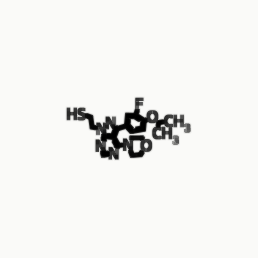 CC(C)Oc1ccc(-c2nn(CCS)c3ncnc(N4CCOCC4)c23)cc1F